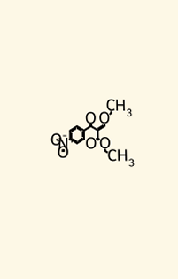 CCO/C=C(/C(=O)OCC)C(=O)c1ccc([N+](=O)[O-])cc1